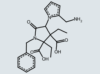 CCC1(C(=O)O)C(n2cccc2CN)C(=O)N(Cc2ccccc2)C1(CC)C(=O)O